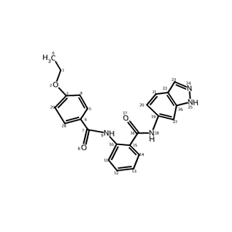 CCOc1ccc(C(=O)Nc2ccccc2C(=O)Nc2ccc3cn[nH]c3c2)cc1